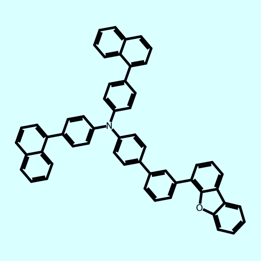 c1cc(-c2ccc(N(c3ccc(-c4cccc5ccccc45)cc3)c3ccc(-c4cccc5ccccc45)cc3)cc2)cc(-c2cccc3c2oc2ccccc23)c1